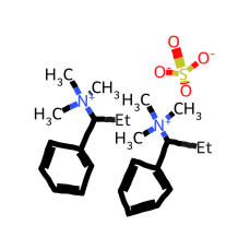 CCC(c1ccccc1)[N+](C)(C)C.CCC(c1ccccc1)[N+](C)(C)C.O=S(=O)([O-])[O-]